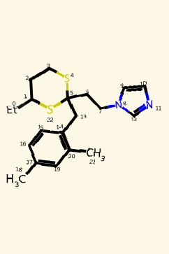 CCC1CCSC(CCn2ccnc2)(Cc2ccc(C)cc2C)S1